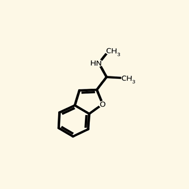 CNC(C)c1cc2ccccc2o1